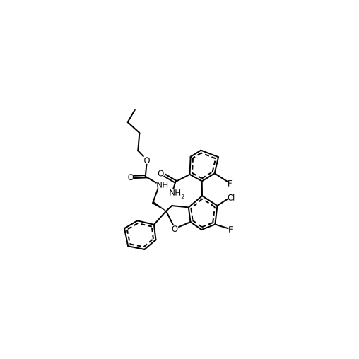 CCCCOC(=O)NC[C@@]1(c2ccccc2)Cc2c(cc(F)c(Cl)c2-c2c(F)cccc2C(N)=O)O1